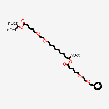 CCCCCCCCC(CCCCCCCC)OC(=O)CCCCOCCOCCCCCCCCC(CCCCCCCC)OC(=O)CCCCOCCOCc1ccccc1